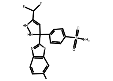 Cc1ccc2nc(C3(c4ccc(S(N)(=O)=O)cc4)C=C(C(F)F)NN3)sc2c1